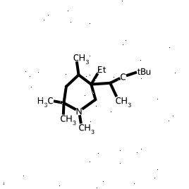 CCC1(C(C)CC(C)(C)C)CN(C)C(C)(C)CC1C